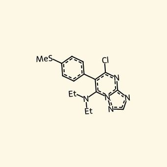 CCN(CC)c1c(-c2ccc(SC)cc2)c(Cl)nc2ncnn12